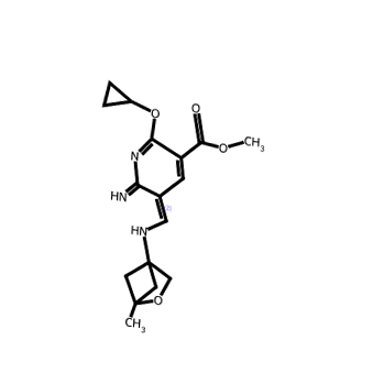 COC(=O)C1=C/C(=C/NC23COC(C)(C2)C3)C(=N)N=C1OC1CC1